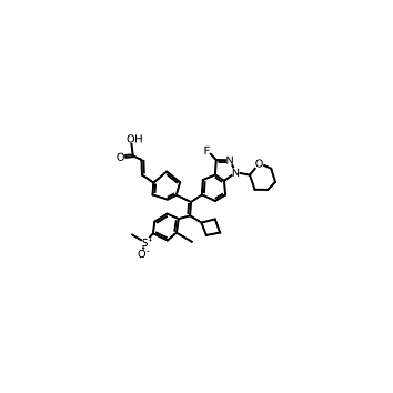 Cc1cc([S+](C)[O-])ccc1/C(=C(\c1ccc(C=CC(=O)O)cc1)c1ccc2c(c1)c(F)nn2C1CCCCO1)C1CCC1